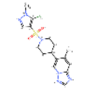 Cc1cc2ncnn2cc1C1CCN(S(=O)(=O)c2cnn(C)c2Cl)CC1